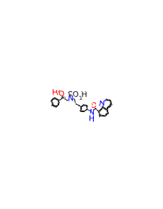 O=C(Nc1ccc(CCN(C[C@H](O)c2ccccc2)C(=O)O)cc1)c1cccc2cccnc12